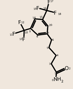 NC(=O)CCCCc1cc(C(F)(F)F)cc(C(F)(F)F)c1